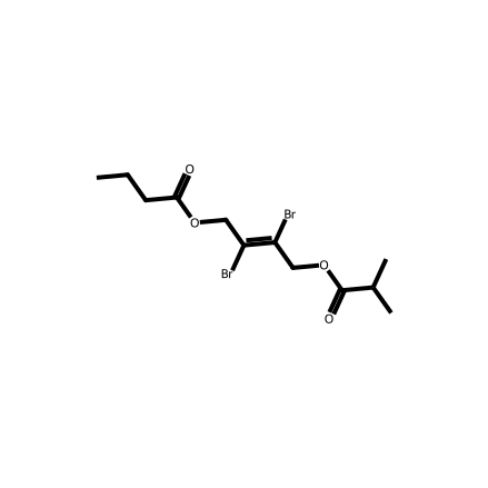 CCCC(=O)OC/C(Br)=C(\Br)COC(=O)C(C)C